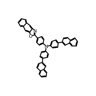 c1ccc2cc(-c3ccc(N(c4ccc(-c5ccc6ccccc6c5)cc4)c4ccc(-c5nc6cc7ccccc7cc6o5)cc4)cc3)ccc2c1